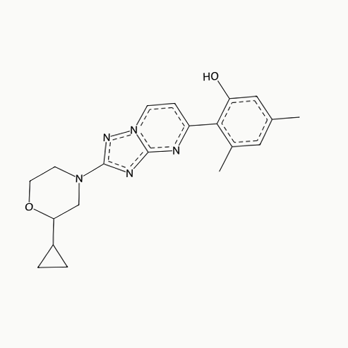 Cc1cc(C)c(-c2ccn3nc(N4CCOC(C5CC5)C4)nc3n2)c(O)c1